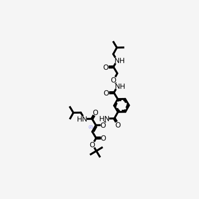 CC(C)CNC(=O)CONC(=O)c1cccc(C(=O)NO/C(=C\C(=O)OC(C)(C)C)C(=O)NCC(C)C)c1